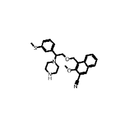 COc1c(C#N)cc2ccccc2c1COCC(c1cccc(SC)c1)N1CCNCC1